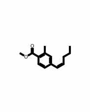 CCC/C=C\c1ccc(C(=O)OC)c(C)c1